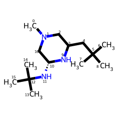 CN1CC(CC(C)(C)C)N[C@H](NC(C)(C)C)C1